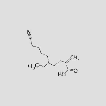 C=C(CCC(CC)CCCCC#N)C(=O)O